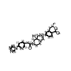 C[C@@H]1Cc2cc([C@@H]3CN4CCN(C(=O)Cc5ccc(-n6cnnn6)nc5)C[C@H]4CN3)ccc2C(=O)O1